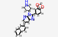 c1ccc2cc(-c3cnc4c(c3)nc(-c3ccc5c(c3)OCO5)n4C3CCNCC3)ccc2c1